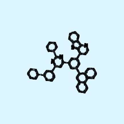 c1ccc(-c2cccc(-c3cc(-c4cc(-c5cc6ccccc6c6ccccc56)cc(-c5ccnc6c5sc5ccccc56)c4)nc(-c4ccccc4)n3)c2)cc1